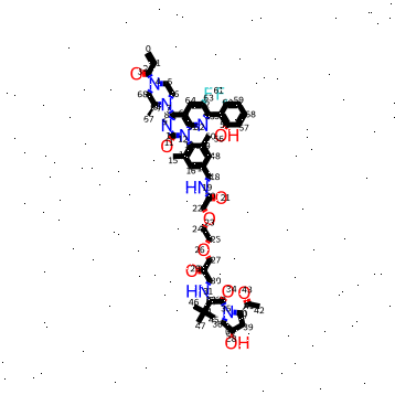 C=CC(=O)N1CCN(c2nc(=O)n(-c3c(C)cc(CNC(=O)COCCOCC(=O)CN[C@H](C(=O)N4C[C@H](O)C[C@H]4C(C)=O)C(C)(C)C)cc3C)c3nc(-c4c(O)cccc4F)c(F)cc23)[C@@H](C)C1